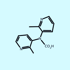 Cc1ncccc1N(C(=O)O)c1cccnc1C